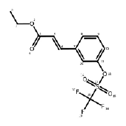 CCOC(=O)/C=C/c1cccc(OS(=O)(=O)C(F)(F)F)c1